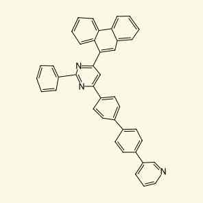 c1ccc(-c2nc(-c3ccc(-c4ccc(-c5cccnc5)cc4)cc3)cc(-c3cc4ccccc4c4ccccc34)n2)cc1